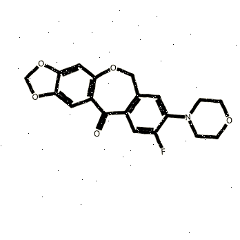 O=C1c2cc(F)c(N3CCOCC3)cc2COc2cc3c(cc21)OCO3